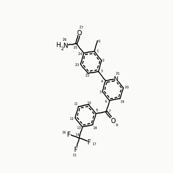 Cc1cc(-c2cc(C(=O)c3cccc(C(F)(F)F)c3)ccn2)ccc1C(N)=O